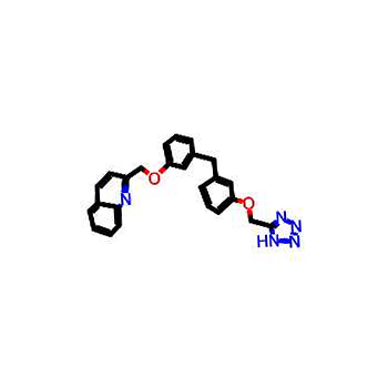 c1cc(Cc2cccc(OCc3nnn[nH]3)c2)cc(OCc2ccc3ccccc3n2)c1